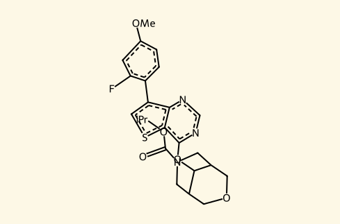 COc1ccc(-c2csc3c(OC4C5COCC4CN(C(=O)OC(C)C)C5)ncnc23)c(F)c1